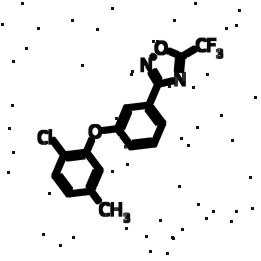 Cc1ccc(Cl)c(Oc2[c]ccc(-c3noc(C(F)(F)F)n3)c2)c1